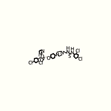 S=C(NCCN1CCN(c2ccc(OC[C@@H]3CO[C@@](Cn4ccnc4)(c4ccc(Cl)cc4Cl)O3)cc2)CC1)Nc1ccc(Cl)cc1Cl